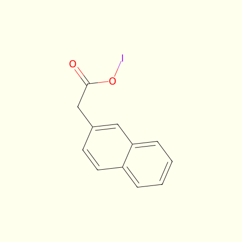 O=C(Cc1ccc2ccccc2c1)OI